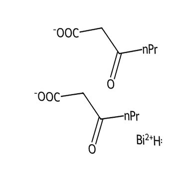 CCCC(=O)CC(=O)[O-].CCCC(=O)CC(=O)[O-].[BiH+2]